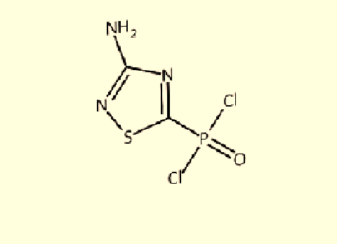 Nc1nsc(P(=O)(Cl)Cl)n1